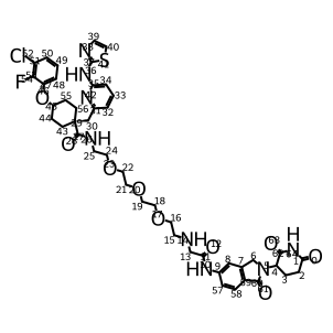 O=C1CCC(N2Cc3cc(NC(=O)CNCCOCCOCCOCCNC(=O)[C@]4(Cc5cccc(Nc6nccs6)n5)CC[C@@H](Oc5cccc(Cl)c5F)CC4)ccc3C2=O)C(=O)N1